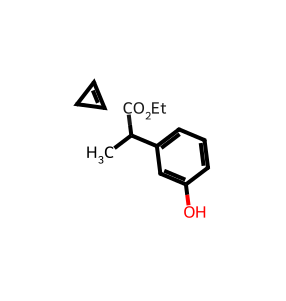 C1=CC1.CCOC(=O)C(C)c1cccc(O)c1